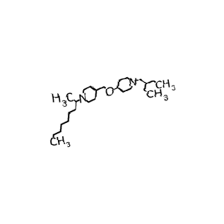 CCCCCCCC(C)N1CCC(COC2CCN(CC(CC)CC)CC2)CC1